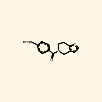 CCCCCCCc1ccc(C(=O)N2CCc3occc3C2)cc1